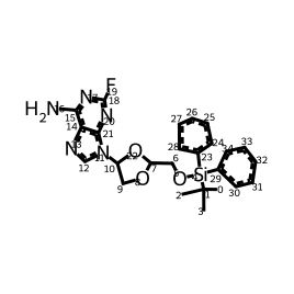 CC(C)(C)[Si](OCC1OCC(n2cnc3c(N)nc(F)nc32)O1)(c1ccccc1)c1ccccc1